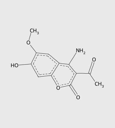 COc1cc2c(N)c(C(C)=O)c(=O)oc2cc1O